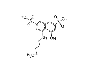 CCCCCNc1cc(S(=O)(=O)O)cc2cc(S(=O)(=O)O)cc(O)c12